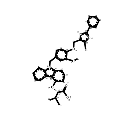 COc1cc(Cn2c3ccccc3c3c(O[C@H](C(=O)O)C(C)C)cccc32)ccc1OCc1nc(-c2ccccc2)oc1C